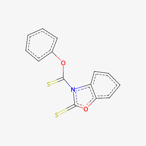 S=C(Oc1ccccc1)n1c(=S)oc2ccccc21